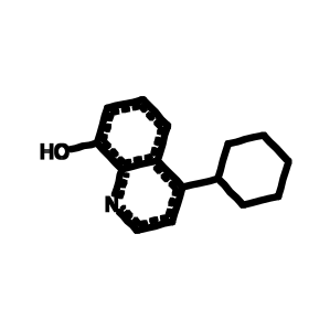 Oc1cccc2c(C3CCCCC3)ccnc12